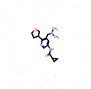 CN(C)Cc1cc(NC(=O)C2CC2)cnc1C1CCOC1